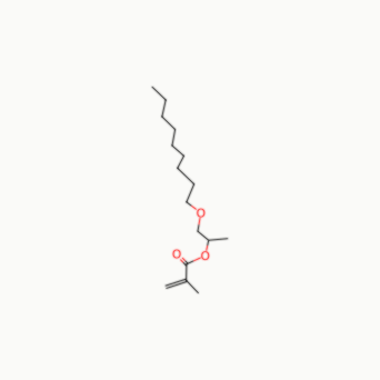 C=C(C)C(=O)OC(C)COCCCCCCCCC